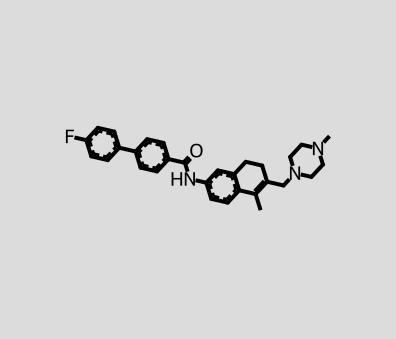 CC1=C(CN2CCN(C)CC2)CCc2cc(NC(=O)c3ccc(-c4ccc(F)cc4)cc3)ccc21